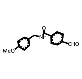 COc1ccc(CNC(=O)c2ccc(C=O)cc2)cc1